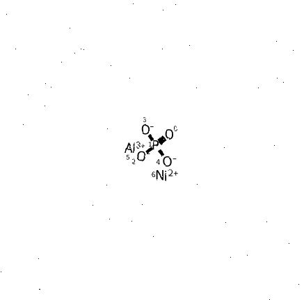 O=P([O-])([O-])[O-].[Al+3].[Ni+2]